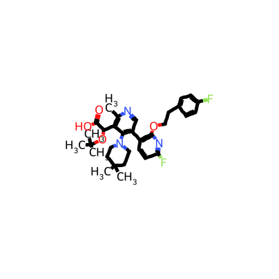 Cc1ncc(-c2ccc(F)nc2OCCc2ccc(F)cc2)c(N2CCC(C)(C)CC2)c1C(OC(C)(C)C)C(=O)O